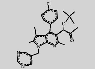 CC(=O)[C@@H](OC(C)(C)C)c1c(C)nc2c(c(C)c(C)n2Cc2cncnc2)c1-c1ccc(Cl)cc1